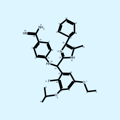 CCOc1cc(OC(C)C)c(F)c(C(Nc2ccc(C(=N)N)cc2)c2nc(-c3ccccc3)c(C)[nH]2)c1